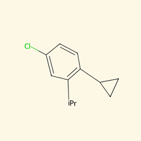 [CH2]C(C)c1cc(Cl)ccc1C1CC1